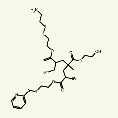 C=C(OCCSSCCN)C(CC(C)C)CC(C)(CC(C(=O)OCCSSc1ccccn1)C(C)C)C(=O)OCCO